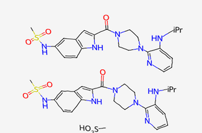 CC(C)Nc1cccnc1N1CCN(C(=O)c2cc3cc(NS(C)(=O)=O)ccc3[nH]2)CC1.CC(C)Nc1cccnc1N1CCN(C(=O)c2cc3cc(NS(C)(=O)=O)ccc3[nH]2)CC1.CS(=O)(=O)O